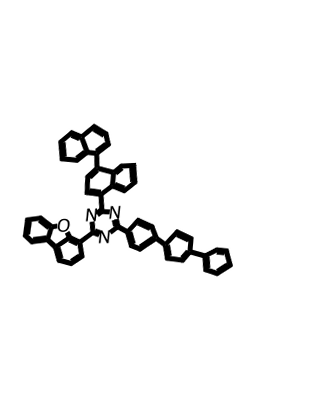 c1ccc(-c2ccc(-c3ccc(-c4nc(-c5ccc(-c6cccc7ccccc67)c6ccccc56)nc(-c5cccc6c5oc5ccccc56)n4)cc3)cc2)cc1